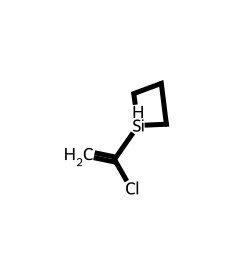 C=C(Cl)[SiH]1CCC1